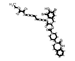 CCOC(=O)C(=O)N=C=C=CC=C=C=NC(=O)[C@@H](Cc1cc(Br)c(O)c(Br)c1)OC(=O)N1CCC(N2CCc3ccccc3NC2=O)CC1